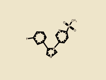 CS(=O)(=O)c1ccc(-n2cncc2-c2cccc(F)c2)cn1